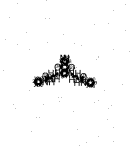 O=C(NCCNc1ccc(NCCNC(=O)Nc2ccccc2)c2c1C(=O)c1cnncc1C2=O)Nc1ccccc1